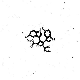 COC(=O)c1[nH]c(C(=O)OC)c(-c2c[nH]c3ccc(F)cc23)c1-c1c[nH]c2c1=CC(Cl)CC=2